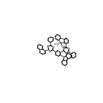 CC1(C)c2ccccc2-c2cccc(-c3nc(-c4ccccc4)nc(-c4cc(-c5nc(-c6ccccc6)nc(-c6cccc7ccccc67)n5)ccc4-n4c5ccccc5c5ccccc54)n3)c21